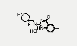 Cc1ccc2[nH]c(NCC3(F)CCNCC3)nc(=O)c2c1.Cl